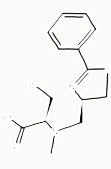 CN(C[C@@H]1CSC(c2ccccc2)=N1)[C@H](CS)C(=O)O